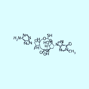 Cn1cnc2c(ncn2[C@@H]2C[C@@H]3OP(=O)(O)C[C@H]4[C@@H](F)[C@H](n5cnc6c(N)ncnc65)O[C@@H]4COC(S)O[C@@H]2[C@@H]3O)c1=O